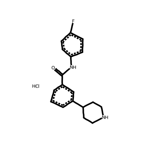 Cl.O=C(Nc1ccc(F)cc1)c1cccc(C2CCNCC2)c1